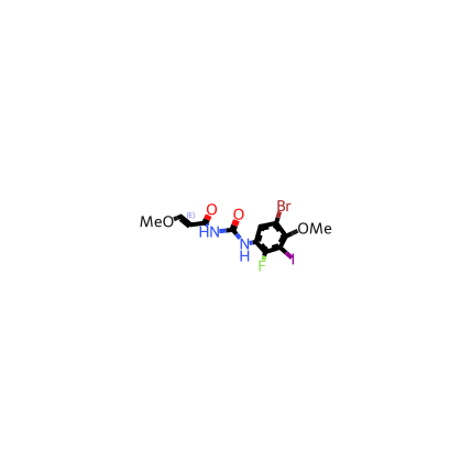 CO/C=C/C(=O)NC(=O)Nc1cc(Br)c(OC)c(I)c1F